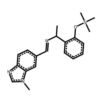 CC(/N=C/c1ccc2ncn(C)c2c1)c1ccccc1O[Si](C)(C)C